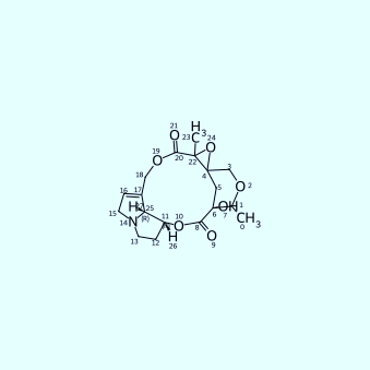 CC1OCC23CC1(O)C(=O)O[C@@H]1CCN4CC=C(COC(=O)C2(C)O3)[C@H]14